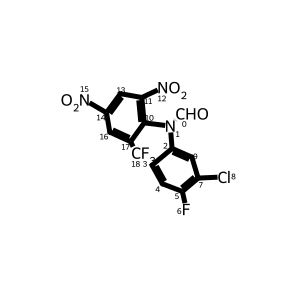 O=CN(c1ccc(F)c(Cl)c1)c1c([N+](=O)[O-])cc([N+](=O)[O-])cc1C(F)(F)F